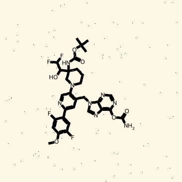 COc1cc(F)c(-c2cc(Cn3cnc4c(OC(N)=O)ncnc43)c(N3CCCC(NC(=O)OC(C)(C)C)(C(O)C(F)F)C3)cn2)cc1F